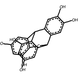 Oc1cc(O)c2c(c1)C1Cc3c(O)cc(O)cc3C2c2cc(O)c(O)cc21